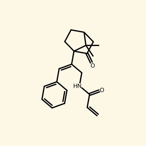 C=CC(=O)NCC(=Cc1ccccc1)C12CCC(CC1=O)C2(C)C